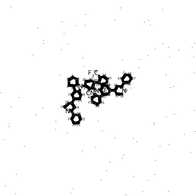 N#Cc1c(-n2c3ccccc3c3cc(-c4ccnc(-c5ccccc5)c4)ccc32)ccc(-c2c(C(F)(F)F)cccc2C(F)(F)F)c1-n1c2ccccc2c2cc(-c3ccnc(-c4ccccc4)c3)ccc21